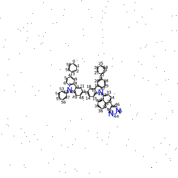 c1ccc(-c2ccc3c(c2)c2cc(-c4ccc5c(c4)c4cc(-c6ccccc6)ccc4n5-c4ccc5c6c(cccc46)-c4ncncc4-5)ccc2n3-c2ccccc2)cc1